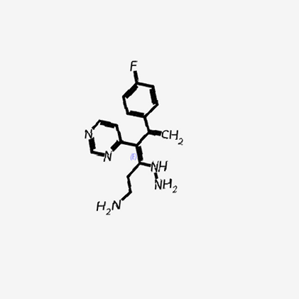 C=C(/C(=C(/CCN)NN)c1ccncn1)c1ccc(F)cc1